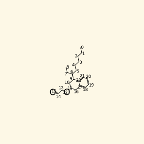 CCCCCCC(CC)[C@@H]1CC(OCC=O)Cc2ccccc21